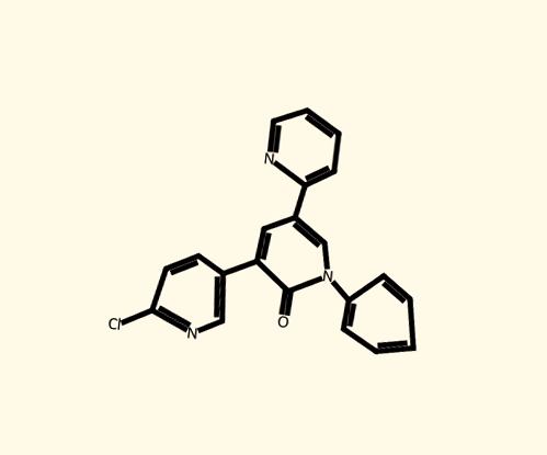 O=c1c(-c2ccc(Cl)nc2)cc(-c2ccccn2)cn1-c1ccccc1